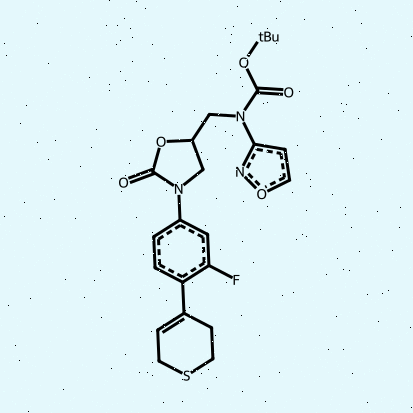 CC(C)(C)OC(=O)N(CC1CN(c2ccc(C3=CCSCC3)c(F)c2)C(=O)O1)c1ccon1